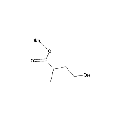 CCCCOC(=O)C(C)CCO